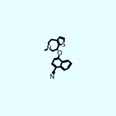 CN1CCc2ccsc2C(Oc2ccc(C#N)c3ccccc23)C1